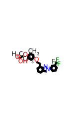 Cc1cc(OCCc2cccc3cn(-c4cccc(C(F)(F)F)c4)nc23)ccc1OC(C)(C)C(=O)O